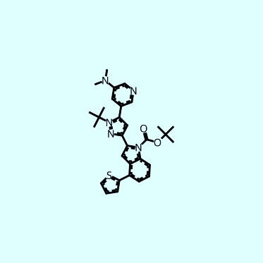 CN(C)c1cncc(-c2cc(-c3cc4c(-c5cccs5)cccc4n3C(=O)OC(C)(C)C)nn2C(C)(C)C)c1